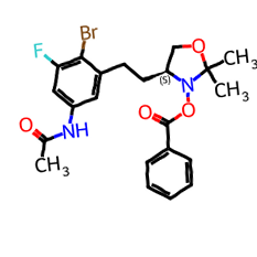 CC(=O)Nc1cc(F)c(Br)c(CC[C@H]2COC(C)(C)N2OC(=O)c2ccccc2)c1